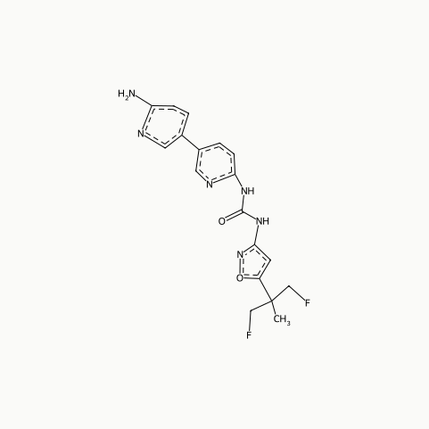 CC(CF)(CF)c1cc(NC(=O)Nc2ccc(-c3ccc(N)nc3)cn2)no1